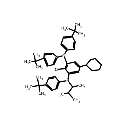 CC(C)C(C)N(c1ccc(C(C)(C)C)cc1)c1cc(C2CCCCC2)cc(N(c2ccc(C(C)(C)C)cc2)c2ccc(C(C)(C)C)cc2)c1Cl